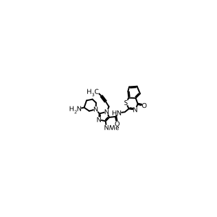 CC#CCn1c(N2CCCC(N)C2)nc(NC)c1C(=O)NCc1nc(=O)c2ccccc2s1